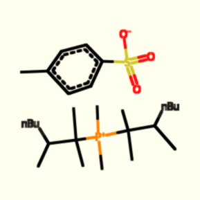 CCCCC(C)C(C)(C)[P+](C)(C)C(C)(C)C(C)CCCC.Cc1ccc(S(=O)(=O)[O-])cc1